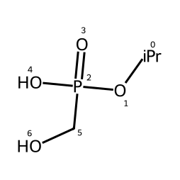 CC(C)OP(=O)(O)CO